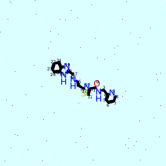 O=C(NCc1ccccn1)c1csc(CCNCc2nc3ccccc3[nH]2)n1